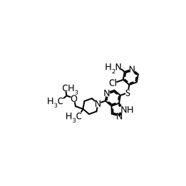 CC(C)OCC1(C)CCN(c2ncc(Sc3ccnc(N)c3Cl)c3[nH]ncc23)CC1